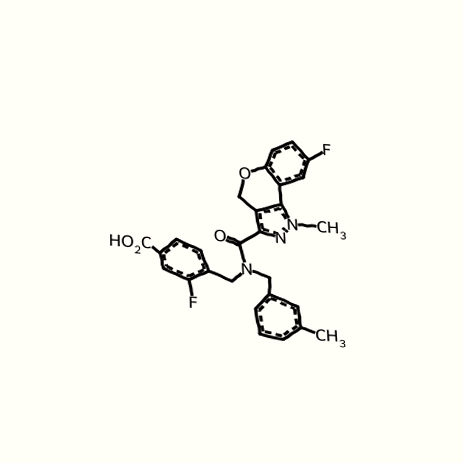 Cc1cccc(CN(Cc2ccc(C(=O)O)cc2F)C(=O)c2nn(C)c3c2COc2ccc(F)cc2-3)c1